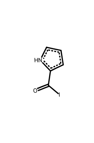 O=C(I)c1ccc[nH]1